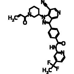 C=CC(=O)N1CCC[C@@H](n2nc(-c3ccc(C(=O)Nc4cc(C(C)(F)F)ccn4)cc3)c3cncc(C#N)c32)C1